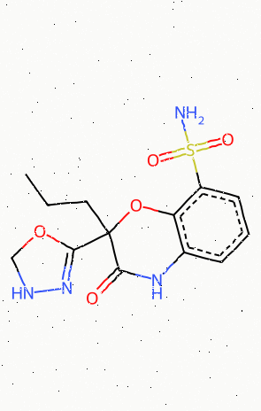 CCCC1(C2=NNCO2)Oc2c(cccc2S(N)(=O)=O)NC1=O